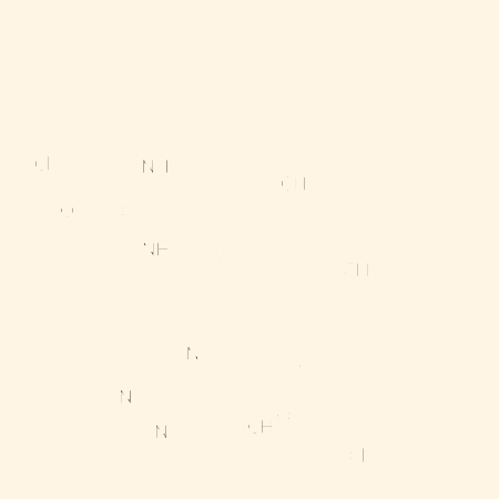 Cc1sc(-n2c(C)nnc2CNC(=O)Nc2ccccc2Cl)c(C(=O)c2ccccc2Cl)c1C